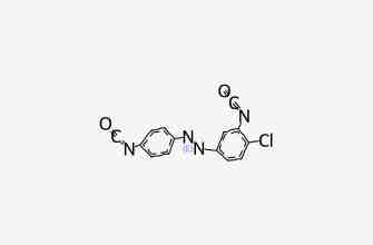 O=C=Nc1ccc(/N=N/c2ccc(Cl)c(N=C=O)c2)cc1